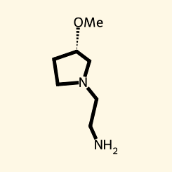 CO[C@H]1CCN(CCN)C1